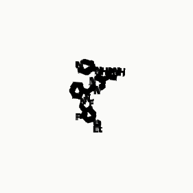 CCOc1cc(F)c(Cn2nc(-c3ncc(C4CNC4)c(Nc4ccncc4)n3)c3ccccc32)c(F)c1